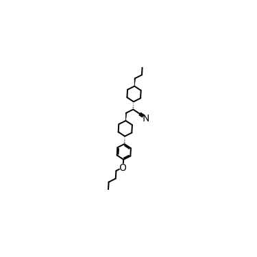 CCCCOc1ccc([C@H]2CC[C@H](CC(C#N)[C@H]3CC[C@H](CCC)CC3)CC2)cc1